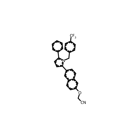 N#CCOc1ccc2cc(-c3ccc(-c4ccccc4)n3Cc3ccc(C(F)(F)F)cc3)ccc2c1